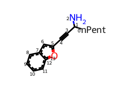 CCCCCC(N)C#Cc1cc2ccccc2o1